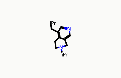 CC(C)Cc1cncc2c1CCN(C(C)C)C2